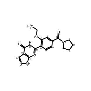 CCOc1cc(C(=O)N2CCCC2)ccc1-c1nc2[nH]nnc2c(=O)[nH]1